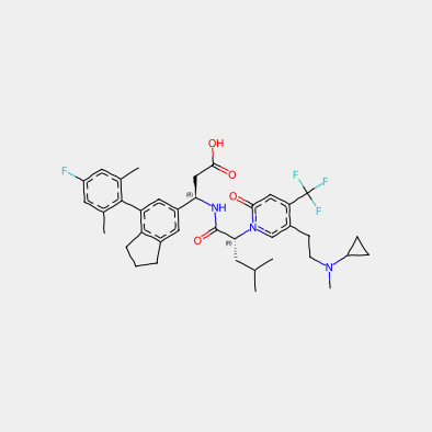 Cc1cc(F)cc(C)c1-c1cc([C@@H](CC(=O)O)NC(=O)[C@@H](CC(C)C)n2cc(CCN(C)C3CC3)c(C(F)(F)F)cc2=O)cc2c1CCC2